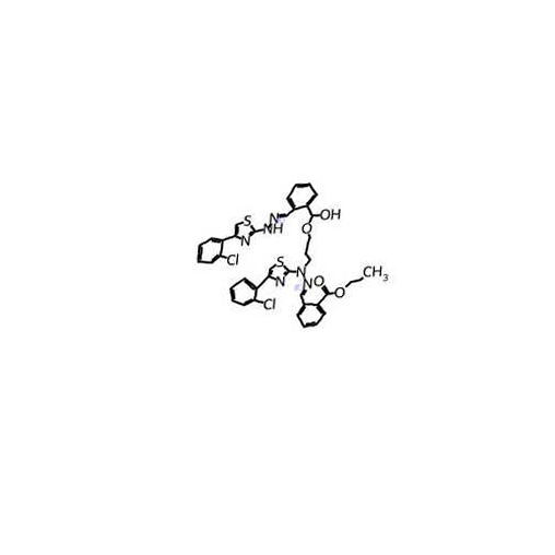 CCCOC(=O)c1ccccc1/C=N/N(CCCOC(O)c1ccccc1/C=N/Nc1nc(-c2ccccc2Cl)cs1)c1nc(-c2ccccc2Cl)cs1